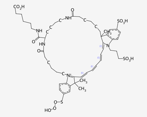 CC1(C)C2=[N+](CCCCCC(=O)NC(C(=O)NCCCCCC(=O)O)CCCCNC(=O)CCCCCC3(C)/C(=C/C=C/C=C/C=C/2)N(CCCS(=O)(=O)O)c2ccc(S(=O)(=O)O)cc23)c2ccc(SOOO)cc21